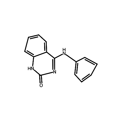 O=c1nc(Nc2ccccc2)c2ccccc2[nH]1